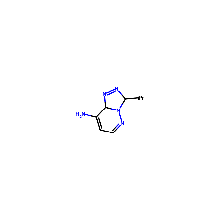 CC(C)C1N=NC2C(N)=CC=NN21